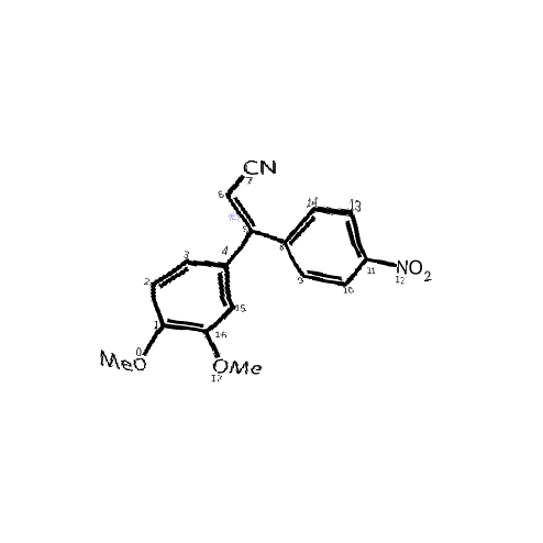 COc1ccc(/C(=C/C#N)c2ccc([N+](=O)[O-])cc2)cc1OC